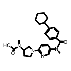 CN(C(=O)c1ccc(C2CCCCC2)cc1)c1ccc(N2CCC(N(C)C(=O)O)C2)nc1